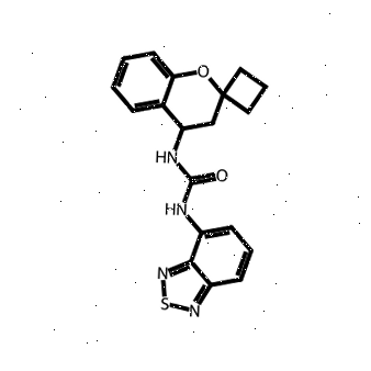 O=C(Nc1cccc2nsnc12)NC1CC2(CCC2)Oc2ccccc21